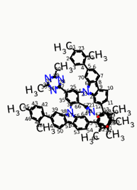 Cc1ccc(-c2ccc3c4ccc(-c5ccc(C)cc5C)cc4n(-c4cc(-c5nc(C)nc(C)n5)cc(-n5c6cc(-c7ccc(C)cc7C)ccc6c6ccc(-c7ccc(C)cc7C)cc65)c4C#N)c3c2)c(C)c1